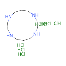 C1CNCCNCCCNCCNC1.Cl.Cl.Cl.Cl.Cl.Cl.Cl